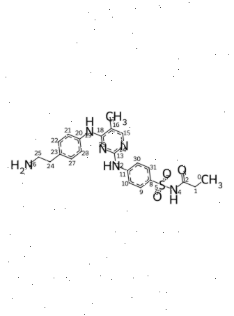 CCC(=O)NS(=O)(=O)c1ccc(Nc2ncc(C)c(Nc3ccc(CCN)cc3)n2)cc1